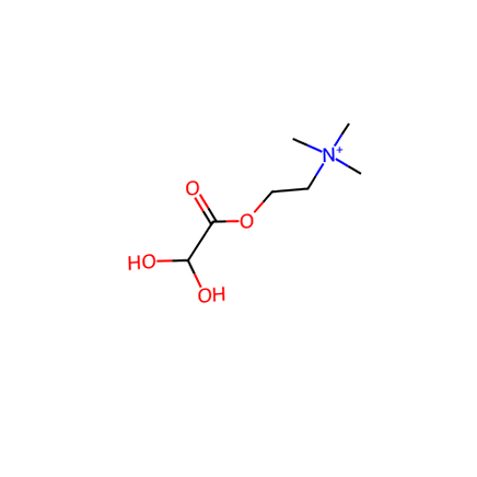 C[N+](C)(C)CCOC(=O)C(O)O